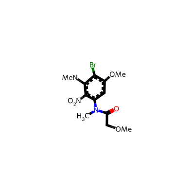 CNc1c(Br)c(OC)cc(N(C)C(=O)COC)c1[N+](=O)[O-]